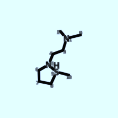 CN(C)CCN1CCC[SH]1C